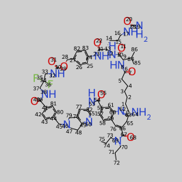 CCCCCCC(=O)N[C@H](C(=O)N[C@@H](CCCNC(N)=O)C(=O)Nc1ccc(COC(=O)NCC(F)(F)CNC(=O)c2ccc(CN3CCc4ncc(NC(=O)c5ccc6c(c5)N=C(N)CC(C(=O)N(CCC)CCC)=C6)cc4C3)cc2)cc1)C(C)C